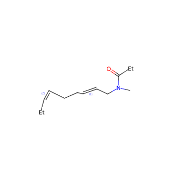 CC/C=C\CC/C=C/CN(C)C(=O)CC